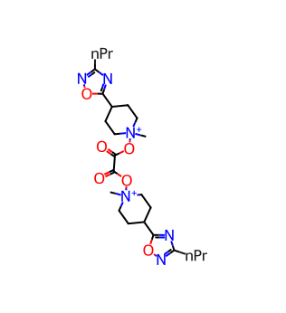 CCCc1noc(C2CC[N+](C)(OC(=O)C(=O)O[N+]3(C)CCC(c4nc(CCC)no4)CC3)CC2)n1